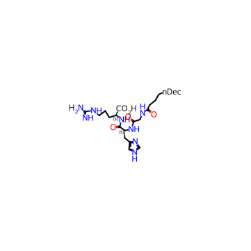 CCCCCCCCCCCCCC(=O)NCC(=O)N[C@@H](Cc1c[nH]cn1)C(=O)N[C@@H](CCCNC(=N)N)C(=O)O